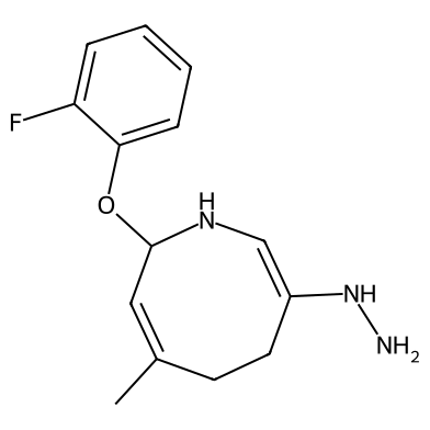 C/C1=C/C(Oc2ccccc2F)N/C=C(/NN)CC1